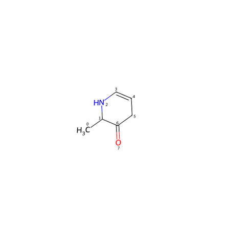 CC1NC=CCC1=O